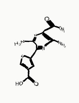 Nc1nc(-c2cc(C(=O)O)cs2)c(N)nc1C(=O)O